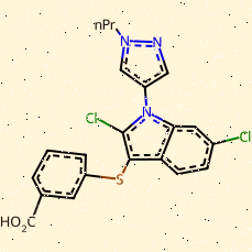 CCCn1cc(-n2c(Cl)c(Sc3cccc(C(=O)O)c3)c3ccc(Cl)cc32)cn1